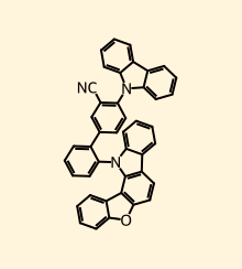 N#Cc1cc(-c2ccccc2-n2c3ccccc3c3ccc4oc5ccccc5c4c32)ccc1-n1c2ccccc2c2ccccc21